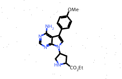 CCOC(=O)C1CC(n2cc(-c3ccc(OC)cc3)c3c(N)ncnc32)CN1